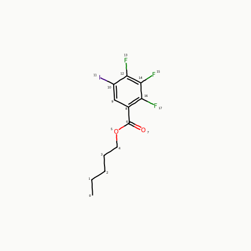 CCCCCOC(=O)c1cc(I)c(F)c(F)c1F